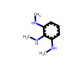 CNc1[c]ccc(NC)c1NC